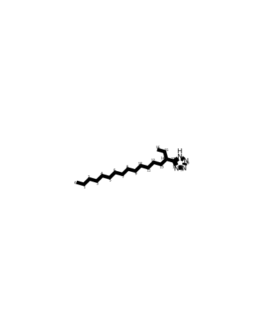 CCCCCCCCCCCCCCC(CC)c1nnn[nH]1